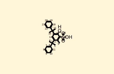 Cc1c(C(C)(C)c2ccccc2)cc(C(C)(C)c2ccccc2)c(O)c1S(=O)(=O)O